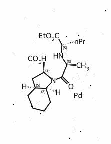 CCC[C@H](N[C@@H](C)C(=O)N1[C@H](C(=O)O)C[C@@H]2CCCC[C@@H]21)C(=O)OCC.[Pd]